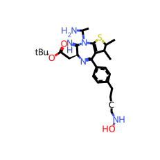 CC1SC2=C(C(c3ccc(CCCCNO)cc3)=N[C@@H](CC(=O)OC(C)(C)C)C(=N)N2C(C)N)C1C